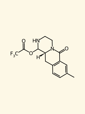 Cc1ccc2c(c1)C(=O)N1CCNC(OC(=O)C(F)(F)F)[C@H]1C2